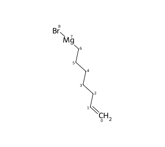 C=CCCCC[CH2][Mg][Br]